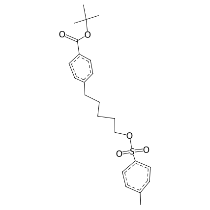 Cc1ccc(S(=O)(=O)OCCCCCc2ccc(C(=O)OC(C)(C)C)cc2)cc1